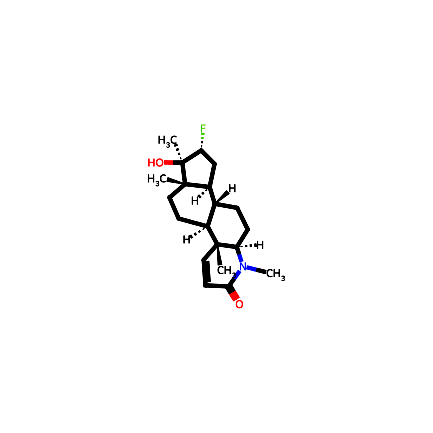 CN1C(=O)C=C[C@]2(C)[C@H]3CC[C@@]4(C)[C@@H](C[C@@H](F)[C@]4(C)O)[C@@H]3CC[C@@H]12